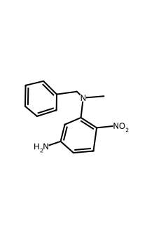 CN(Cc1ccccc1)c1cc(N)ccc1[N+](=O)[O-]